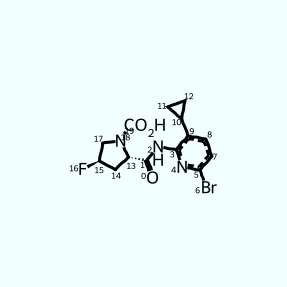 O=C(Nc1nc(Br)ccc1C1CC1)[C@@H]1C[C@@H](F)CN1C(=O)O